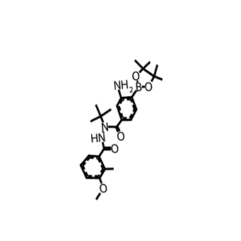 COc1cccc(C(=O)NN(C(=O)c2ccc(B3OC(C)(C)C(C)(C)O3)c(N)c2)C(C)(C)C)c1C